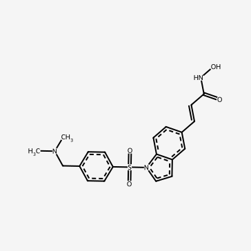 CN(C)Cc1ccc(S(=O)(=O)n2ccc3cc(/C=C/C(=O)NO)ccc32)cc1